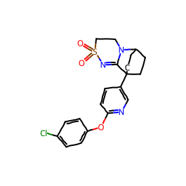 O=S1(=O)CCN2C(=N1)C1(c3ccc(Oc4ccc(Cl)cc4)nc3)CCC2CC1